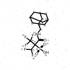 O=C(NCC12CC3CC(CC(C3)C1)C2)C(C(F)F)(C(F)(F)F)S(=O)(=O)O